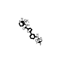 C[C@H]1[C@H](NC(=O)c2ccc(-c3cccc(NS(=O)(=O)C(F)(F)F)c3)o2)C2CCN1CC2